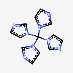 c1cn(C(n2ccnc2)(n2ccnc2)n2ccnc2)cn1